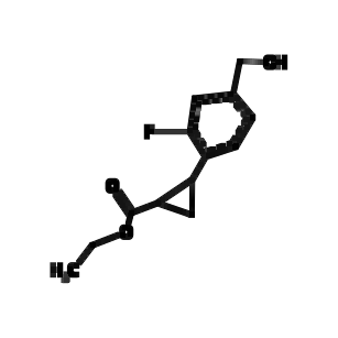 CCOC(=O)C1CC1c1ccc(CO)cc1F